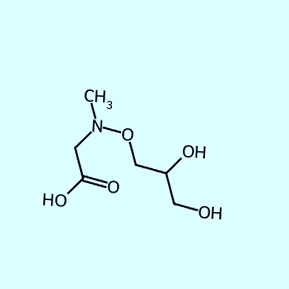 CN(CC(=O)O)OCC(O)CO